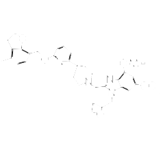 COc1cc(C(=O)O)cc2c1nc(CN1CCC(c3cccc(OCc4ccc(Cl)c5c4OCC5)n3)CC1)n2CC1CCO1